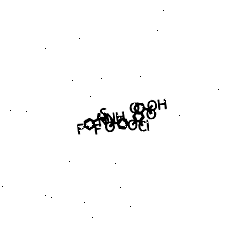 O=C(Nc1nc(-c2ccc(F)cc2F)cs1)c1ccc(Oc2cc3c(cc2Cl)C(C(=O)O)CCO3)cc1